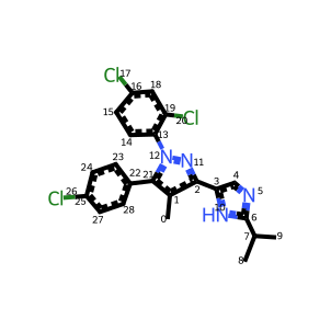 Cc1c(-c2cnc(C(C)C)[nH]2)nn(-c2ccc(Cl)cc2Cl)c1-c1ccc(Cl)cc1